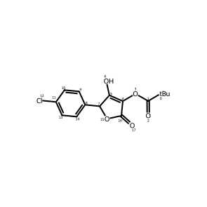 CC(C)(C)C(=O)OC1=C(O)C(c2ccc(Cl)cc2)OC1=O